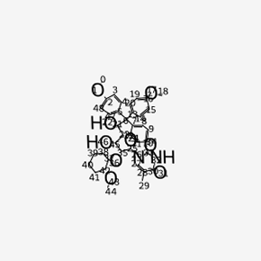 COc1ccc(C(c2ccccc2)(c2ccc(OC)cc2)C(O)[C@H]2O[C@@H](n3cc(C)c(=O)[nH]c3=O)[C@H](O[C@@H]3CCCC[C@H]3OC)[C@@H]2O)cc1